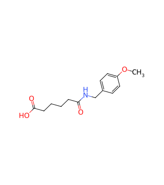 COc1ccc(CNC(=O)CCCCC(=O)O)cc1